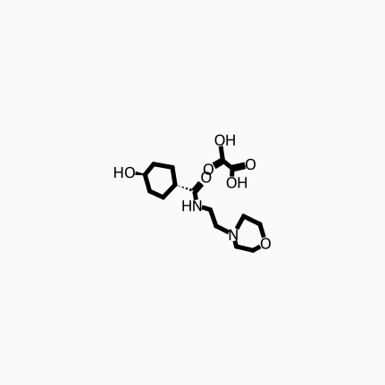 O=C(NCCN1CCOCC1)[C@H]1CC[C@H](O)CC1.O=C(O)C(=O)O